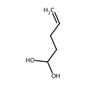 C=CCCC(O)O